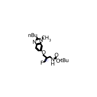 CCCCc1nc2ccc(OC/C(=C\F)CNC(=O)OC(C)(C)C)cc2n1C